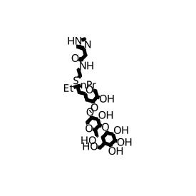 CCCC(CC)(CC1CC(OOC2COC(CO)C(OC3CC(CO)C(O)C(O)C3O)C2O)C(O)CO1)SCCNC(=O)Cc1c[nH]cn1